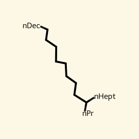 [CH2]CCC(CCCCCCC)CCCCCCCCCCCCCCCCCC